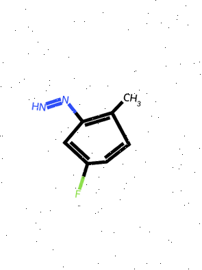 Cc1ccc(F)cc1N=N